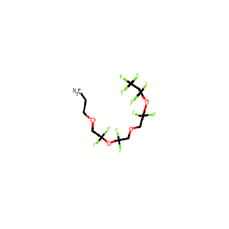 CCCOCC(F)(F)OC(F)(F)COCC(F)(F)OC(F)(F)C(F)(F)F